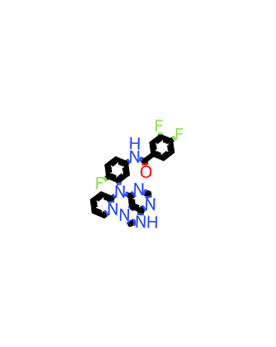 O=C(Nc1ccc(F)c(N(c2ccccn2)c2ncnc3[nH]cnc23)c1)c1ccc(F)c(F)c1